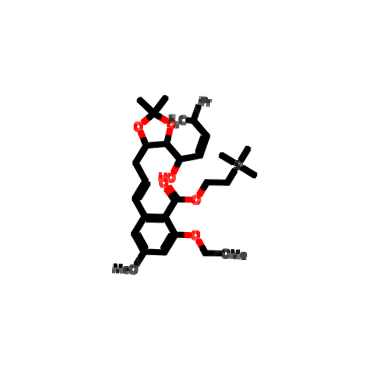 COCOc1cc(OC)cc(/C=C/CC2OC(C)(C)OC2C(O)/C=C\C(C(C)C)C(F)(F)F)c1C(=O)OCC[Si](C)(C)C